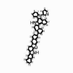 c1cncc(-n2c3ccccc3c3c4[nH]c5ccc6c(-c7ccc8cc9c(cc8c7)oc7c9ccc8c9cc%10ccccc%10cc9[nH]c87)cccc6c5c4c4ccccc4c32)c1